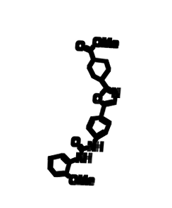 COC(=O)C1CCC(c2ncc(-c3ccc(NC(=O)Nc4ccccc4OC)cc3)o2)CC1